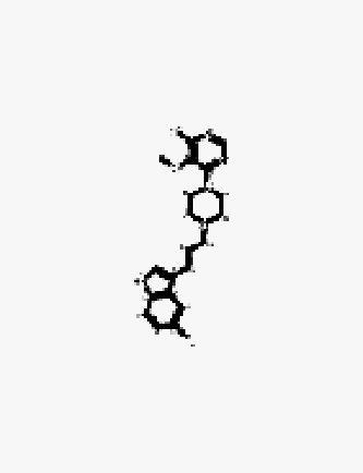 COc1c(Cl)ncnc1N1CCN(CCCc2c[nH]c3ccc(F)cc23)CC1